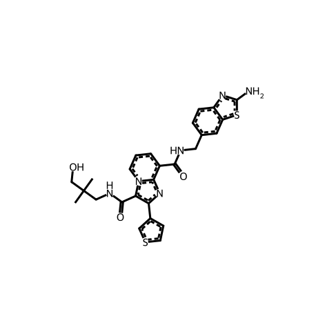 CC(C)(CO)CNC(=O)c1c(-c2ccsc2)nc2c(C(=O)NCc3ccc4nc(N)sc4c3)cccn12